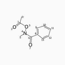 CC(=O)ON(C)C(=O)c1ccccc1